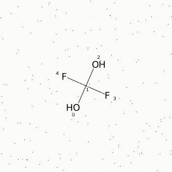 OC(O)(F)F